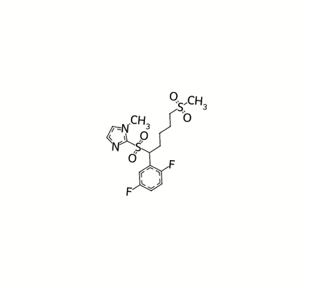 Cn1ccnc1S(=O)(=O)C(CCCCS(C)(=O)=O)c1cc(F)ccc1F